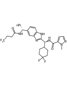 CCC[C@@H](NC(=O)CCC(F)(F)F)c1ccc2[nH]c([C@@H](NC(=O)c3ccnn3C)C3CCC(F)(F)CC3)nc2c1